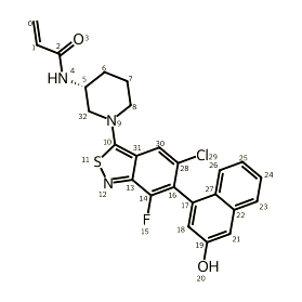 C=CC(=O)N[C@@H]1CCCN(c2snc3c(F)c(-c4cc(O)cc5ccccc45)c(Cl)cc23)C1